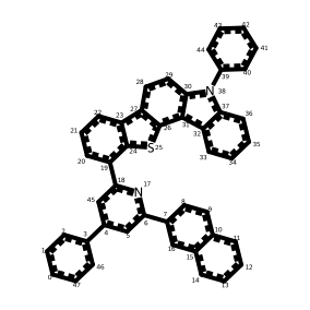 c1ccc(-c2cc(-c3ccc4ccccc4c3)nc(-c3cccc4c3sc3c4ccc4c3c3ccccc3n4-c3ccccc3)c2)cc1